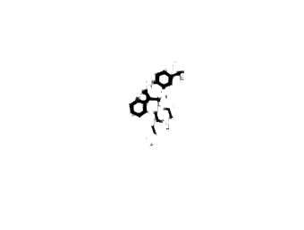 COCC[C@H]1CN(C2=Nc3cc(C(F)(F)F)ccc3Nc3sc4ccccc4c32)CCN1C